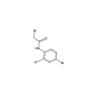 O=C(CBr)Nc1ccc(Br)cc1Cl